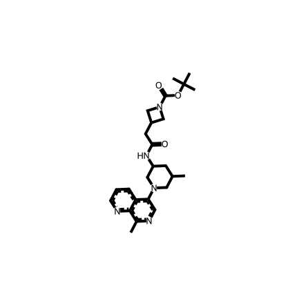 Cc1ncc(N2CC(C)CC(NC(=O)CC3CN(C(=O)OC(C)(C)C)C3)C2)c2cccnc12